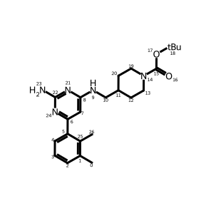 Cc1cccc(-c2cc(NCC3CCN(C(=O)OC(C)(C)C)CC3)nc(N)n2)c1C